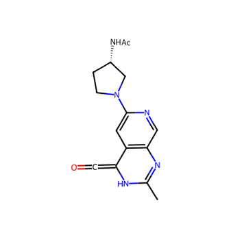 CC(=O)N[C@H]1CCN(c2cc3c(cn2)N=C(C)NC3=C=O)C1